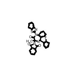 CC1(N2C(=O)c3ccccc3C2=O)N=C(c2ccccc2F)c2ccccc2N(c2nc3ccccc3s2)C1=O